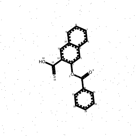 O=C(Oc1cc2ccccc2cc1C(O)=S)c1ccccc1